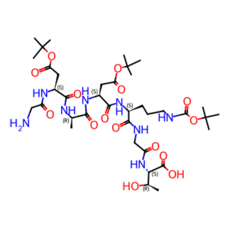 C[C@@H](NC(=O)[C@H](CC(=O)OC(C)(C)C)NC(=O)CN)C(=O)N[C@@H](CC(=O)OC(C)(C)C)C(=O)N[C@@H](CCCNC(=O)OC(C)(C)C)C(=O)NCC(=O)N[C@H](C(=O)O)[C@@H](C)O